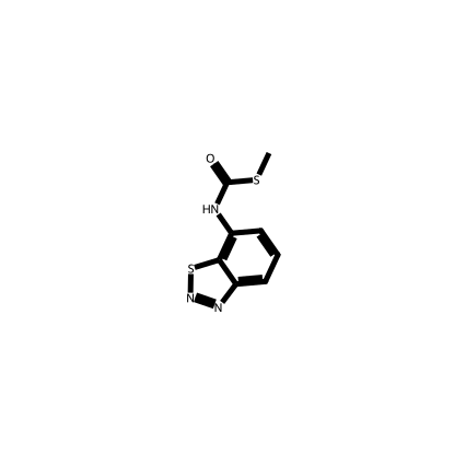 CSC(=O)Nc1cccc2nnsc12